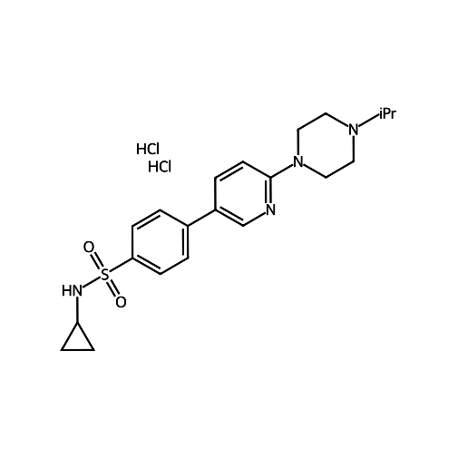 CC(C)N1CCN(c2ccc(-c3ccc(S(=O)(=O)NC4CC4)cc3)cn2)CC1.Cl.Cl